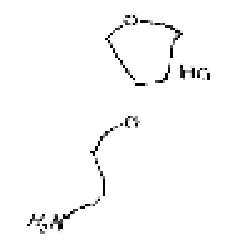 C1CCOC1.Cl.NCCCl